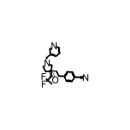 N#Cc1ccc(CC[C@@]2([C@H]3OCC3(F)F)CCN(Cc3cccnc3)C2)cc1